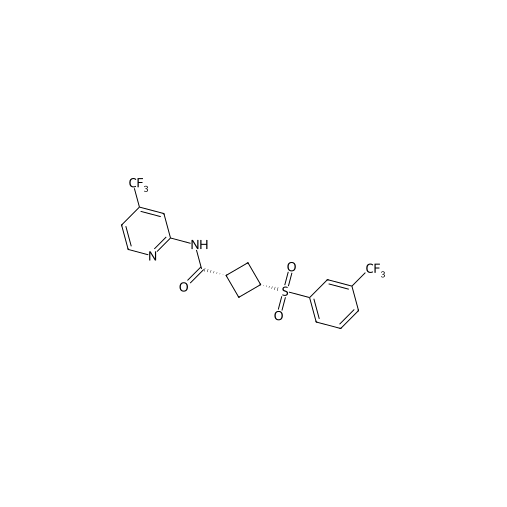 O=C(Nc1cc(C(F)(F)F)ccn1)[C@H]1C[C@@H](S(=O)(=O)c2cccc(C(F)(F)F)c2)C1